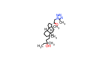 CC[C@](C)(O)CC[C@@]1(C)CCC[C@@H]2[C@@H]1CC[C@]1(C)[C@@H](C(=O)Cn3nnnc3C)CC[C@@H]21